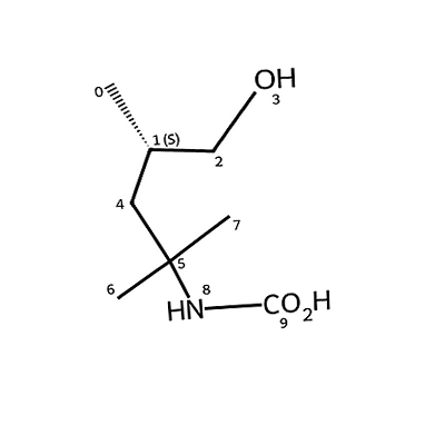 C[C@H](CO)CC(C)(C)NC(=O)O